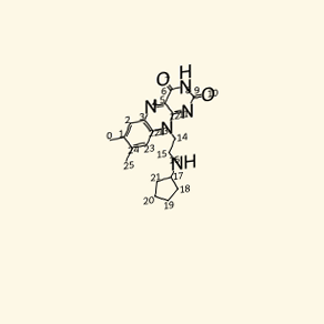 Cc1cc2nc3c(=O)[nH]c(=O)nc-3n(CCNC3CCCC3)c2cc1C